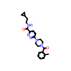 Cc1ccccc1C(=O)N1CCN(c2ccc(C(=O)NCCC3CC3)nn2)CC1